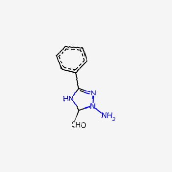 NN1N=C(c2ccccc2)NC1C=O